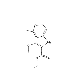 CCOC(=O)c1[nH]c2cccc(C)c2c1OC